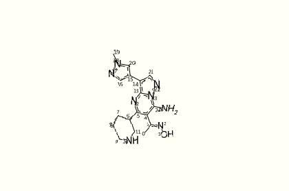 CC(=NO)c1c(C2CCCNC2)nc2c(-c3cnn(C)c3)cnn2c1N